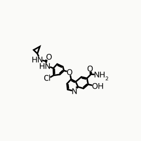 NC(=O)c1cc2c(Oc3ccc(NC(=O)NC4CC4)c(Cl)c3)ccnc2cc1O